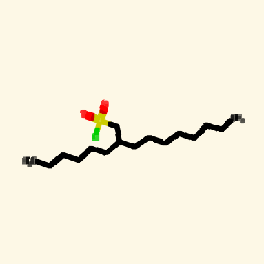 CCCCCCCCC(CCCCCC)CS(=O)(=O)Cl